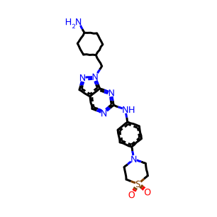 NC1CCC(Cn2ncc3cnc(Nc4ccc(N5CCS(=O)(=O)CC5)cc4)nc32)CC1